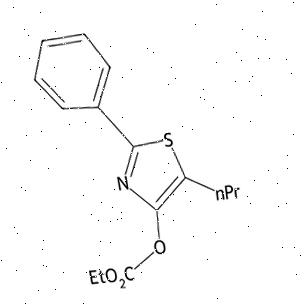 CCCc1sc(-c2ccccc2)nc1OC(=O)OCC